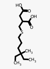 CCC(C)(CC)CCCSCC(CC(=O)O)C(=O)O